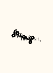 Nc1ccc2c(c1)N(c1ccccc1)C(Cc1cc3ccc(NC(=O)Nc4ccc5c(c4)N(c4ccccc4)CCS5)cc3[nH]1)CS2